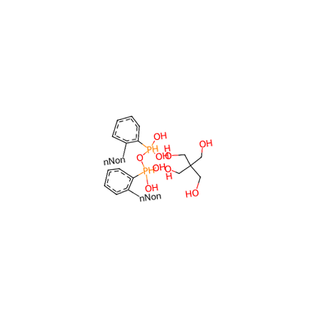 CCCCCCCCCc1ccccc1[PH](O)(O)O[PH](O)(O)c1ccccc1CCCCCCCCC.OCC(CO)(CO)CO